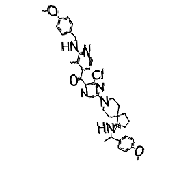 COc1ccc(CNc2nccc(C(=O)c3ncc(N4CCC5(CCC[C@H]5NC(C)c5ccc(OC)cc5)CC4)nc3Cl)c2C)cc1